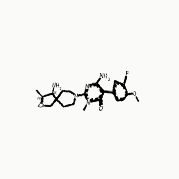 COc1ccc(-c2c(N)nc(N3CCC4(CC3)CO[C@@H](C)[C@H]4N)n(C)c2=O)cc1F